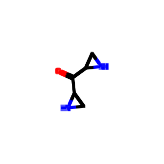 O=C(C1CN1)C1CN1